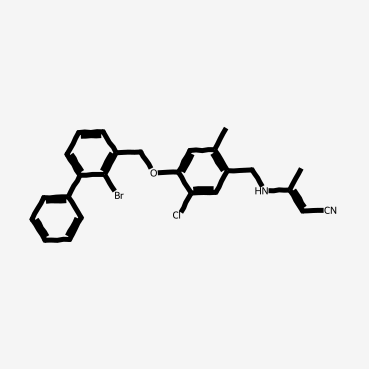 C/C(=C\C#N)NCc1cc(Cl)c(OCc2cccc(-c3ccccc3)c2Br)cc1C